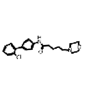 O=C(CCCCN1CCOCC1)Nc1ccc(-c2ccccc2Cl)cc1